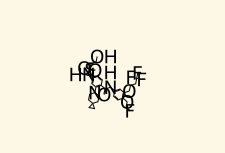 O=C(Nc1ccc(OCF)c(OCCC(F)(F)F)c1)c1ccc(NS(=O)(=O)CCO)cc1N1CCC2(CC1)CC2